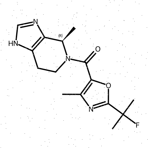 Cc1nc(C(C)(C)F)oc1C(=O)N1CCc2[nH]cnc2[C@H]1C